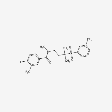 CN(CCC(C)(C)S(=O)(=O)c1cccc(C(F)(F)F)c1)C(=O)c1ccc(F)c(C(F)(F)F)c1